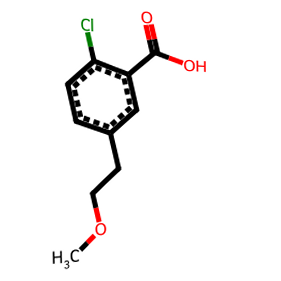 COCCc1ccc(Cl)c(C(=O)O)c1